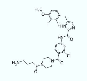 COc1ccc(Cc2cnc(C(=O)Nc3ccc(C(=O)N4CCN(C(=O)CCCN)CC4)c(Cl)c3)[nH]2)c(F)c1F